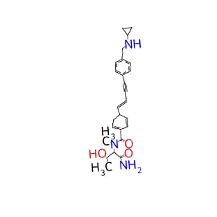 CC(O)C(C(N)=O)N(C)C(=O)C1=CCC(/C=C/C#Cc2ccc(CNC3CC3)cc2)C=C1